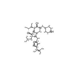 CCC(C)[C@H]1C(=O)N(CC2CCNCC2)CC2N(Cc3cc(C(C)N(C)C)no3)[C@@H](CC(C)C)C(=O)N21